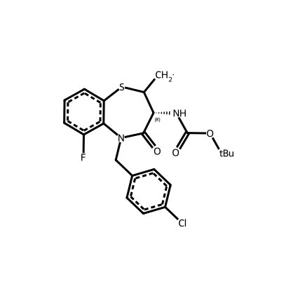 [CH2]C1Sc2cccc(F)c2N(Cc2ccc(Cl)cc2)C(=O)[C@H]1NC(=O)OC(C)(C)C